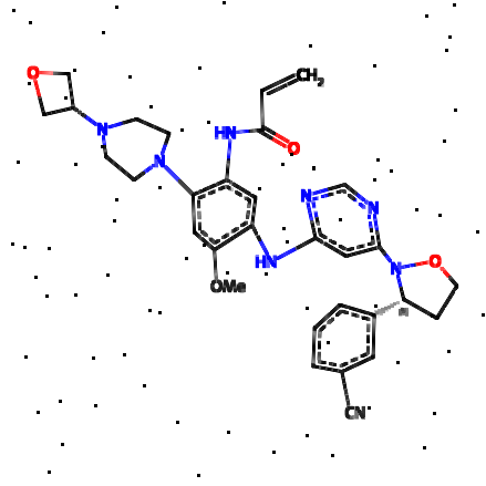 C=CC(=O)Nc1cc(Nc2cc(N3OCC[C@@H]3c3cccc(C#N)c3)ncn2)c(OC)cc1N1CCN(C2COC2)CC1